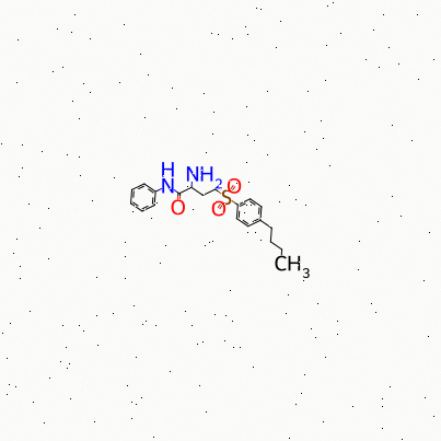 CCCCc1ccc(S(=O)(=O)CCC(N)C(=O)Nc2ccccc2)cc1